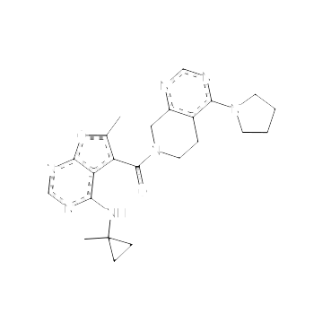 Cc1oc2ncnc(NC3(C)CC3)c2c1C(=O)N1CCc2c(ncnc2N2CC[C@H](C)C2)C1